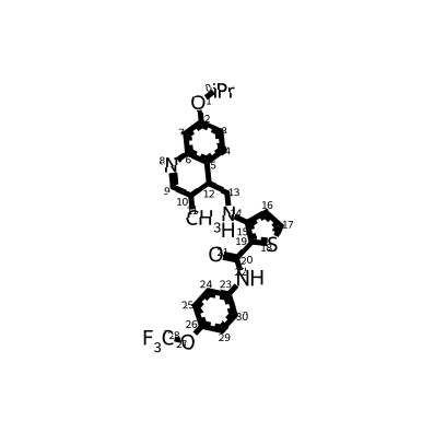 CC(C)Oc1ccc2c(c1)N=CC(C)C2CNc1ccsc1C(=O)Nc1ccc(OC(F)(F)F)cc1